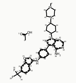 CC(=O)O.CN1CCN(C2CCC(n3nc(-c4ccc(Nc5noc6cc(C(F)(F)F)ccc56)cc4)c4c(N)ncnc43)CC2)CC1